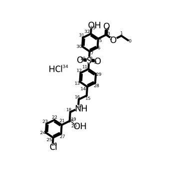 CCOC(=O)c1cc(S(=O)(=O)c2ccc(CCNC[C@H](O)c3cccc(Cl)c3)cc2)ccc1O.Cl